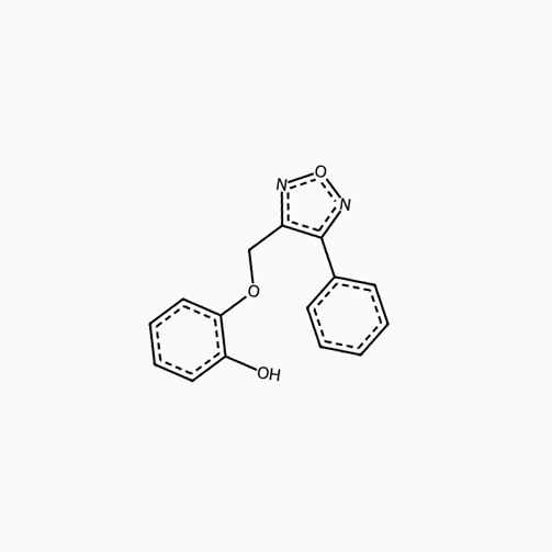 Oc1ccccc1OCc1nonc1-c1ccccc1